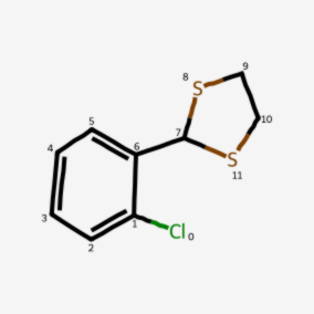 Clc1ccccc1C1SCCS1